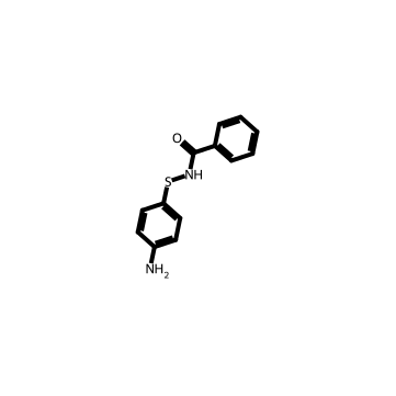 Nc1ccc(SNC(=O)c2ccccc2)cc1